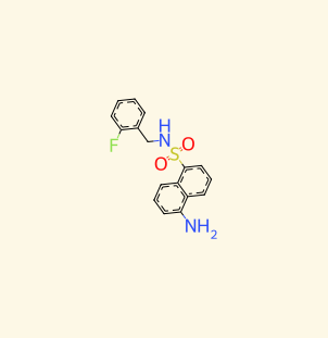 Nc1cccc2c(S(=O)(=O)NCc3ccccc3F)cccc12